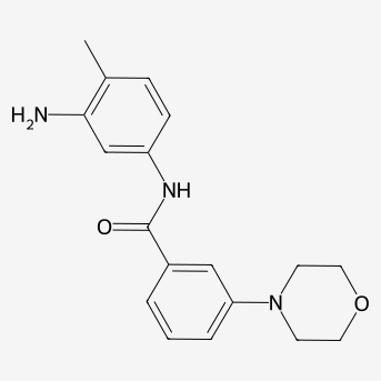 Cc1ccc(NC(=O)c2cccc(N3CCOCC3)c2)cc1N